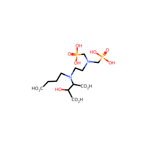 O=C(O)CCCN(CCN(CP(=O)(O)O)CP(=O)(O)O)C(C(=O)O)C(O)C(=O)O